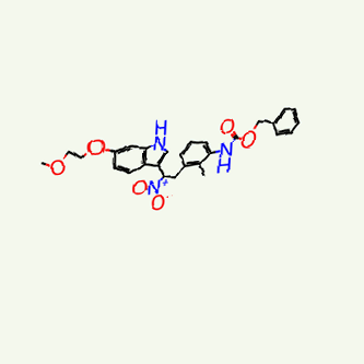 COCCOc1ccc2c(C(Cc3cccc(NC(=O)OCc4ccccc4)c3C)[N+](=O)[O-])c[nH]c2c1